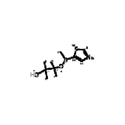 CB(OC(C)(C)C(C)(C)O)c1cncs1